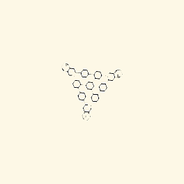 c1ccc(-c2cc(-c3ccccc3-c3ccc(-c4cc5c(cn4)C4CCC5CC4)cc3)cc(-c3ccccc3-c3ccc(-c4cc5c(cn4)C4CCC5CC4)cc3)c2)c(-c2ccc(-c3cc4c(cn3)C3CCC4CC3)cc2)c1